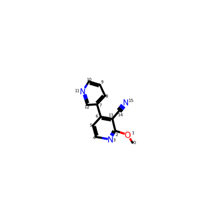 COc1nccc(-c2cccnc2)c1C#N